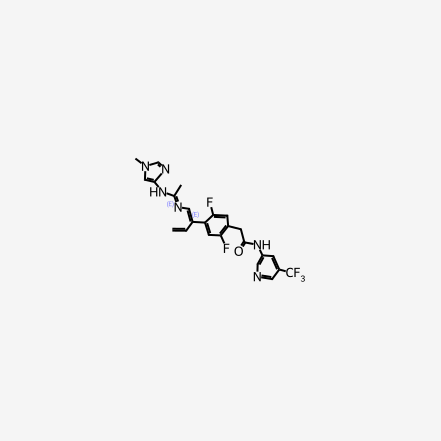 C=C/C(=C\N=C(/C)Nc1cn(C)cn1)c1cc(F)c(CC(=O)Nc2cncc(C(F)(F)F)c2)cc1F